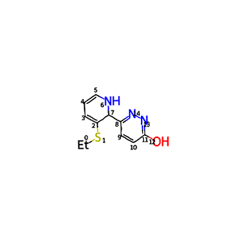 CCSC1=CC=CNC1c1ccc(O)nn1